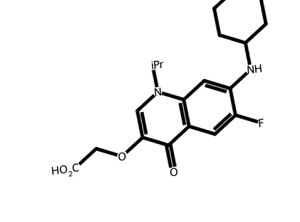 CC(C)n1cc(OCC(=O)O)c(=O)c2cc(F)c(NC3CCCCC3)cc21